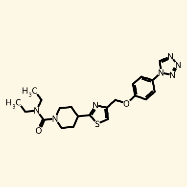 CCN(CC)C(=O)N1CCC(c2nc(COc3ccc(-n4cnnn4)cc3)cs2)CC1